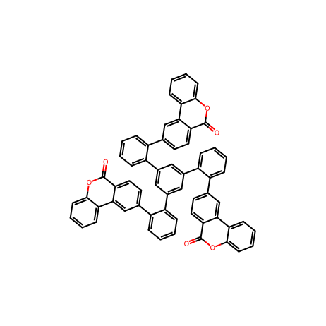 O=c1oc2ccccc2c2cc(-c3ccccc3-c3cc(-c4ccccc4-c4ccc5c(=O)oc6ccccc6c5c4)cc(-c4ccccc4-c4ccc5c(=O)oc6ccccc6c5c4)c3)ccc12